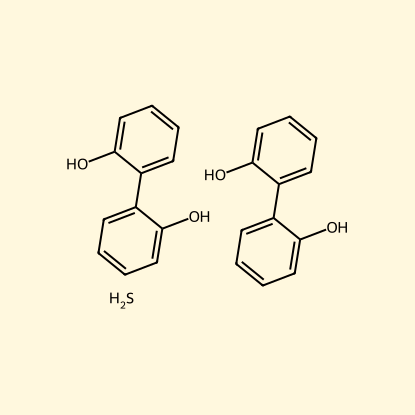 Oc1ccccc1-c1ccccc1O.Oc1ccccc1-c1ccccc1O.S